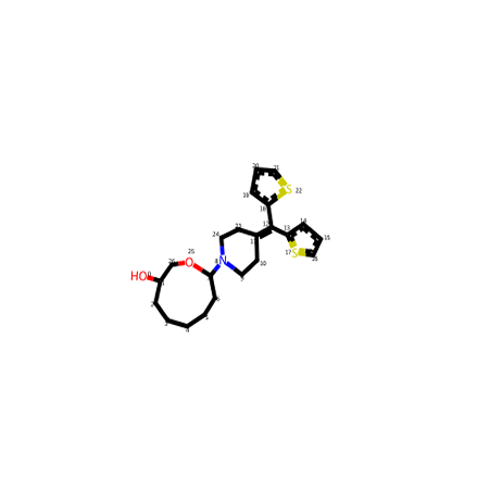 OC1CCCCCC(N2CCC(=C(c3cccs3)c3cccs3)CC2)OC1